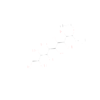 CCCCCCCOC(C(=O)O)C(O)C(O)C(O)C(O)C(O)C(O)C(O)C(O)CO